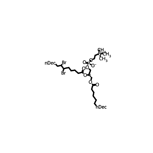 CCCCCCCCCCCCCCCC(=O)OC[C@H](COP(=O)([O-])OCC[N+](C)(C)C)OC(=O)CCCCC(Br)C(Br)CCCCCCCCCCC